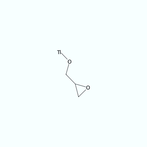 [Tl][O]CC1CO1